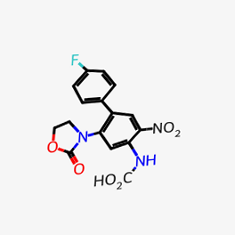 O=C(O)Nc1cc(N2CCOC2=O)c(-c2ccc(F)cc2)cc1[N+](=O)[O-]